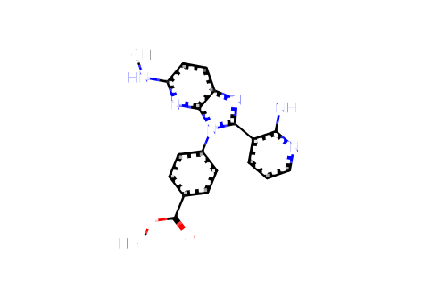 CNc1ccc2nc(-c3cccnc3N)n(-c3ccc(C(=O)OC)cc3)c2n1